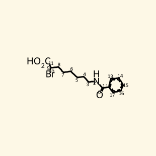 O=C(NCCCCCCC(Br)C(=O)O)c1ccccc1